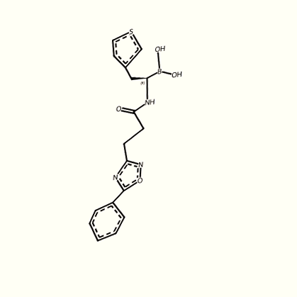 O=C(CCc1noc(-c2ccccc2)n1)N[C@@H](Cc1ccsc1)B(O)O